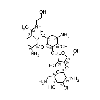 C[C@H](NCCO)[C@@H]1CC[C@@H](N)[C@@H](O[C@H]2[C@H](O[C@@H]3O[C@H](CO)[C@@H](O[C@H]4O[C@@H](CN)[C@@H](O)[C@H](O)[C@H]4N)[C@H]3O)[C@@H](O)[C@H](N)C[C@@H]2N)O1